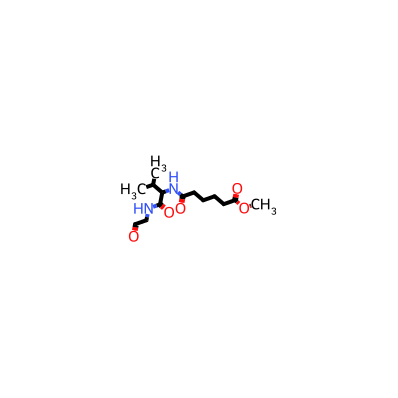 COC(=O)CCCCC(=O)NC(C(=O)NCC=O)C(C)C